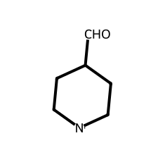 O=CC1CC[N]CC1